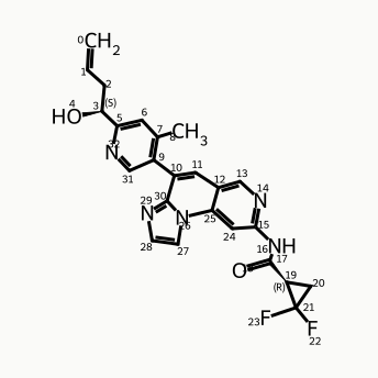 C=CC[C@H](O)c1cc(C)c(-c2cc3cnc(NC(=O)[C@H]4CC4(F)F)cc3n3ccnc23)cn1